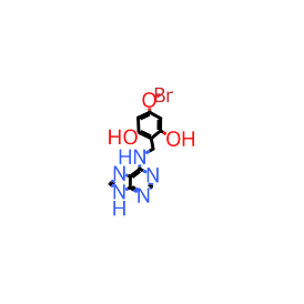 Oc1cc(OBr)cc(O)c1CNc1ncnc2[nH]cnc12